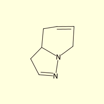 C1=CCN2N=CCC2C1